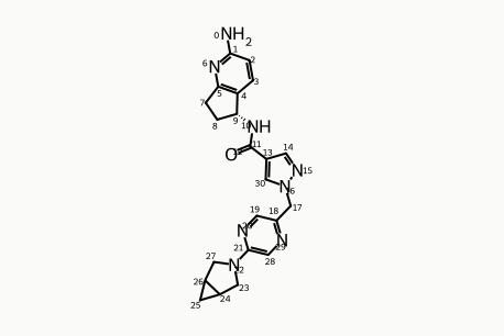 Nc1ccc2c(n1)CC[C@H]2NC(=O)c1cnn(Cc2cnc(N3CC4CC4C3)cn2)c1